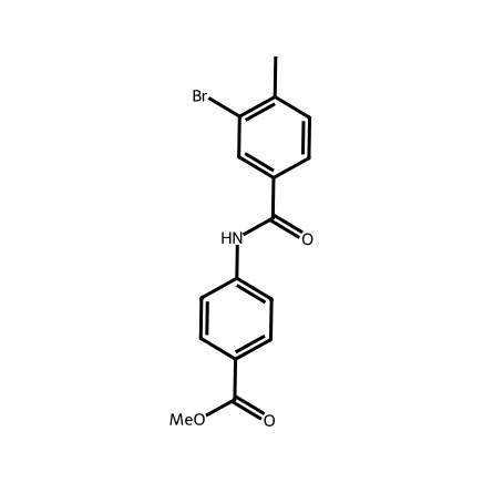 COC(=O)c1ccc(NC(=O)c2ccc(C)c(Br)c2)cc1